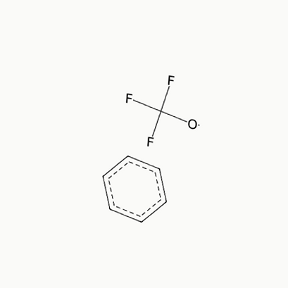 [O]C(F)(F)F.c1ccccc1